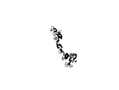 CCC(CC)C1CC(N[C@H]2CC[C@H](NCC(=O)N3CCN(CCNc4cccc5c4C(=O)N(C4CCC(=O)NC4=O)C5=O)CC3)C2)N2NCCC2N1